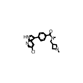 CN1CC(CN(C)C(=O)c2ccc(-c3c[nH]c4ncc(Cl)cc34)cc2)C1